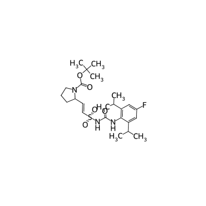 CC(C)c1cc(F)cc(C(C)C)c1NC(=O)NS(=O)(=O)C=CC1CCCN1C(=O)OC(C)(C)C